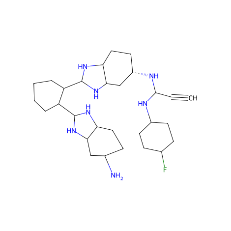 C#CC(NC1CCC(F)CC1)N[C@H]1CCC2NC(C3CCCCC3C3NC4CCC(N)CC4N3)NC2C1